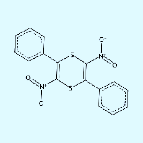 O=[N+]([O-])C1=C(c2ccccc2)SC([N+](=O)[O-])=C(c2ccccc2)S1